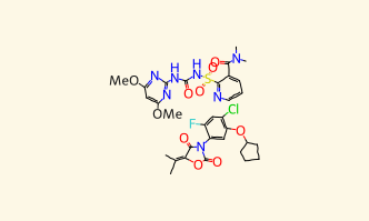 CC(C)=C1OC(=O)N(c2cc(OC3CCCC3)c(Cl)cc2F)C1=O.COc1cc(OC)nc(NC(=O)NS(=O)(=O)c2ncccc2C(=O)N(C)C)n1